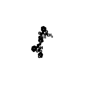 CC(=O)N[C@H](C(=O)N1CC2CN(CCC(NC(=O)OC3CCOC3)c3ccccc3)CC2C1)c1ccccc1